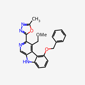 COCc1c(-c2nnc(C)o2)ncc2[nH]c3cccc(OCc4ccccc4)c3c12